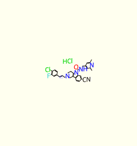 Cc1cc(CNC(=O)n2c3c(c4ccc(C#N)cc42)CN(C/C=C/c2ccc(Cl)c(F)c2)CC3)cc(C)n1.Cl